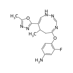 Cc1nnc(/C2=C/N/N=C\N=C(\Oc3ccc(N)cc3F)CC2C)o1